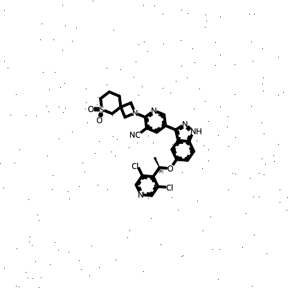 C[C@@H](Oc1ccc2[nH]nc(-c3cnc(N4CC5(CCCS(=O)(=O)C5)C4)c(C#N)c3)c2c1)c1c(Cl)cncc1Cl